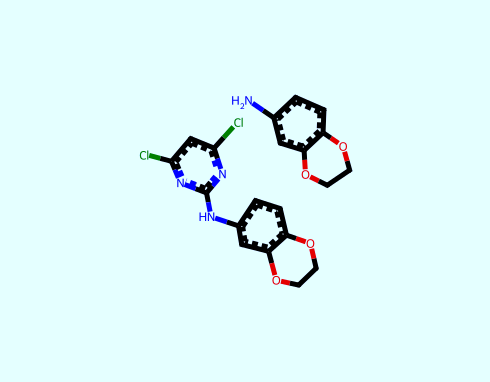 Clc1cc(Cl)nc(Nc2ccc3c(c2)OCCO3)n1.Nc1ccc2c(c1)OCCO2